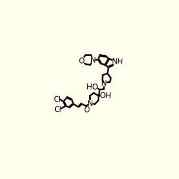 O=C(C=Cc1ccc(Cl)c(Cl)c1)N1CCC(O)(C(O)CN2CCC(c3c[nH]c4ccc(N5CCOCC5)cc34)CC2)CC1